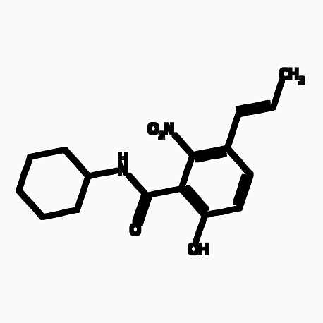 CC=Cc1ccc(O)c(C(=O)NC2CCCCC2)c1[N+](=O)[O-]